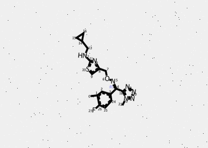 Cc1cc(/C(=N\OCc2csc(NCC3CC3)n2)c2nnnn2C)ccc1F